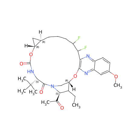 CCC1[C@@H]2CN(C(=O)[C@H](C(C)(C)C)NC(=O)O[C@@H]3C[C@H]3CCCC(F)C(F)c3nc4ccc(OC)cc4nc3O2)[C@@H]1C(C)=O